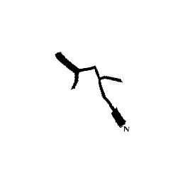 C=C(C)CC(C)CC#N